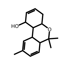 CC1=CC2C3C(O)C=CCC3OC(C)(C)C2C=C1